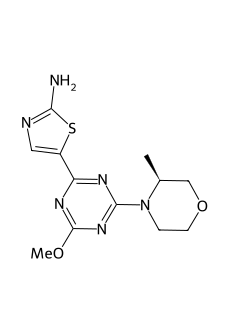 COc1nc(-c2cnc(N)s2)nc(N2CCOC[C@@H]2C)n1